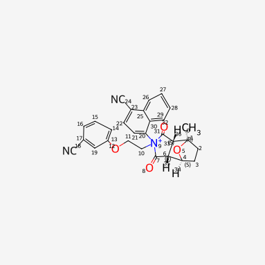 C[C@]12CC[C@H](O1)[C@@H]1C(=O)[N+](CCOc3cccc(C#N)c3)(c3ccc(C#N)c4ccccc34)C(=O)[C@@H]12